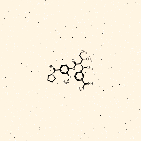 CC[C@H](C)[C@@H](C(=O)Oc1ccc(C(=N)N2CCCC2)cc1OC)N(C)c1cccc(C(=N)N)c1